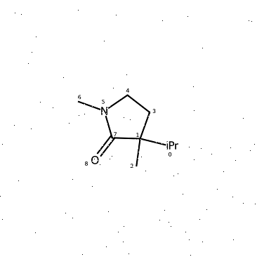 CC(C)C1(C)CCN(C)C1=O